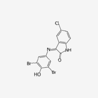 O=C1Nc2ccc(Cl)cc2C1=Nc1cc(Br)c(O)c(Br)c1